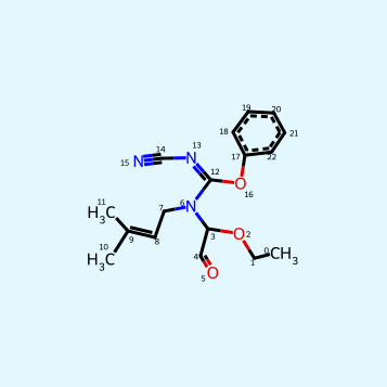 CCOC(C=O)N(CC=C(C)C)C(=NC#N)Oc1ccccc1